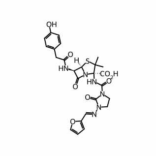 CC1(C)S[C@@H]2[C@H](NC(=O)Cc3ccc(O)cc3)C(=O)N2[C@@]1(NC(=O)N1CCN(N=Cc2ccco2)C1=O)C(=O)O